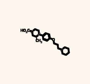 C[C@@H]1CN(C(=O)O)CCN1c1ccc(OCCCN2CCCCC2)cc1